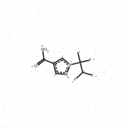 CC(F)(C(F)F)n1cc(C(N)=O)cn1